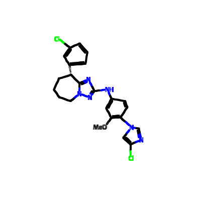 COc1cc(Nc2nc3n(n2)CCCC[C@@H]3c2cccc(Cl)c2)ccc1-n1cnc(Cl)c1